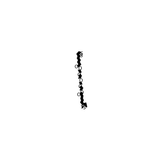 O=C(CCCCC1CCSS1)OCCOCCOCCOCCOC(=O)CCCCC1CCSS1